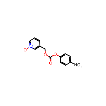 O=C(OCc1ccc[n+]([O-])c1)Oc1ccc([N+](=O)[O-])cc1